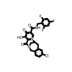 O=C(NCc1c(F)cc(F)cc1F)c1cn2c(c(O)c1=O)C(=O)N1Cc3ccc(Cl)cc3CC2C1